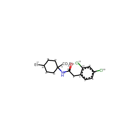 CCOC(=O)C1(NC(=O)Cc2ccc(Cl)cc2Cl)CCC(CC)CC1